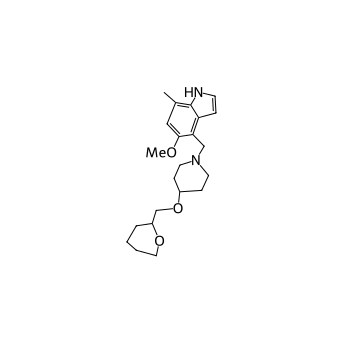 COc1cc(C)c2[nH]ccc2c1CN1CCC(OCC2CCCCO2)CC1